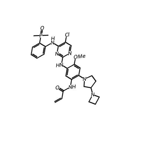 C=CC(=O)Nc1cc(Nc2ncc(Cl)c(Nc3ccccc3P(C)(C)=O)n2)c(OC)cc1N1CCC(N2CCC2)C1